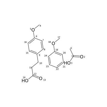 CC(=O)O.COc1ccc(CCC(=O)O)cc1.COc1ccccc1